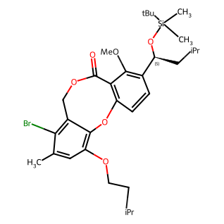 COc1c([C@H](CC(C)C)O[Si](C)(C)C(C)(C)C)ccc2c1C(=O)OCc1c(Br)c(C)cc(OCCC(C)C)c1O2